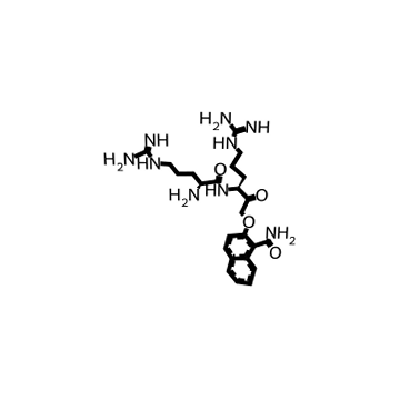 N=C(N)NCCC[C@H](NC(=O)[C@@H](N)CCCNC(=N)N)C(=O)COc1ccc2ccccc2c1C(N)=O